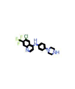 FC(F)(F)c1cc2nccc(Nc3ccc(N4CCNCC4)cc3)c2cc1Cl